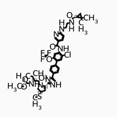 COC(=O)N[C@H](C(=O)N1C[C@@H](SC)C[C@H]1c1nc(-c2ccc(-c3cc(Cl)c(NC(=O)c4ccc(NCCNC(=O)[C@H]5CC5(C)C)nc4)cc3OC(F)(F)F)cc2)c[nH]1)C(C)C